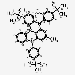 Cc1cc2c3c(c1)N(c1ccc(C(C)(C)C)cc1C)c1ccc(C(C)(C)C)cc1B3c1ccccc1N2c1ccc(C(C)(C)C)cc1